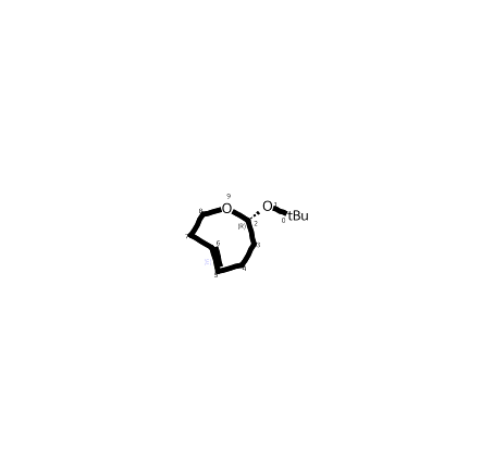 CC(C)(C)O[C@@H]1CC/C=C/CCO1